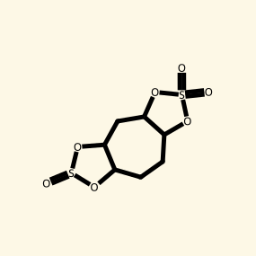 O=S1OC2CCC3OS(=O)(=O)OC3CC2O1